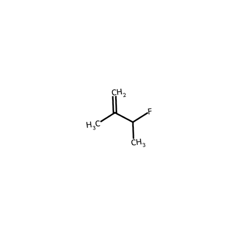 C=C(C)C(C)F